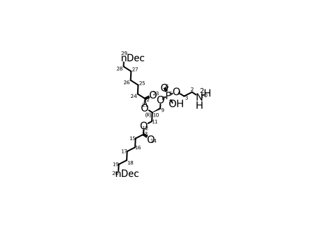 [2H]NCCOP(=O)(O)OC[C@@H](COC(=O)CCCCCCCCCCCCCCC)OC(=O)CCCCCCCCCCCCCCC